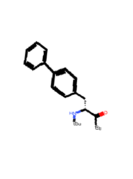 CC(C)(C)N[C@H](Cc1ccc(-c2ccccc2)cc1)C(=O)C(C)(C)C